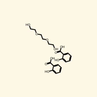 O=C(O)c1ccccc1O.O=C(O)c1ccccc1O.OCCOCCOCCO